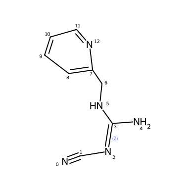 N#C/N=C(/N)NCc1ccccn1